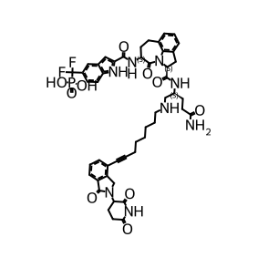 NC(=O)CC[C@@H](CNCCCCCCC#Cc1cccc2c1CN(C1CCC(=O)NC1=O)C2=O)NC(=O)[C@@H]1Cc2cccc3c2N1C(=O)[C@@H](NC(=O)c1cc2cc(C(F)(F)P(=O)(O)O)ccc2[nH]1)CC3